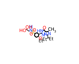 CCOc1ccc(S(=O)(=O)NCC(O)O)cc1-c1nn2c(C(CC)CC)nc(C)c2c(=O)[nH]1